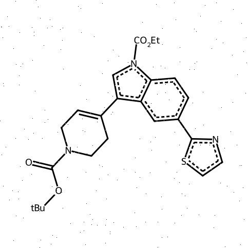 CCOC(=O)n1cc(C2=CCN(C(=O)OC(C)(C)C)CC2)c2cc(-c3nccs3)ccc21